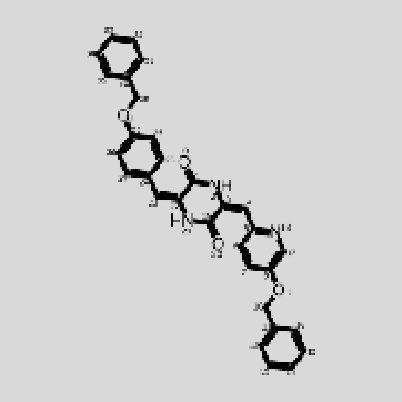 O=c1[nH]c(=Cc2ccc(OCc3ccccc3)cn2)c(=O)[nH]c1=Cc1ccc(OCc2ccccc2)cc1